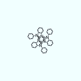 c1ccc(N2B3N(B4N(B5N3c3ccccc3N5c3ccccc3)c3ccccc3N4c3ccccc3)c3ccccc32)cc1